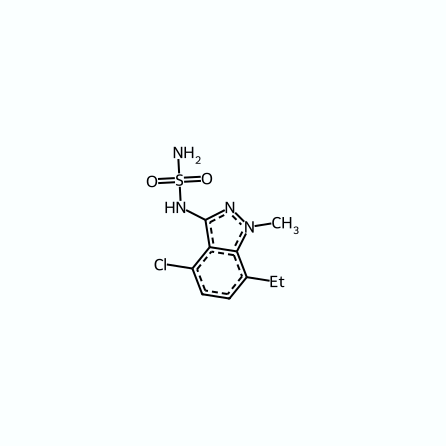 CCc1ccc(Cl)c2c(NS(N)(=O)=O)nn(C)c12